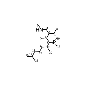 CCC(CNC)[C@@H](C)C([C@@H](C)CCCC(C)C)P(C)C